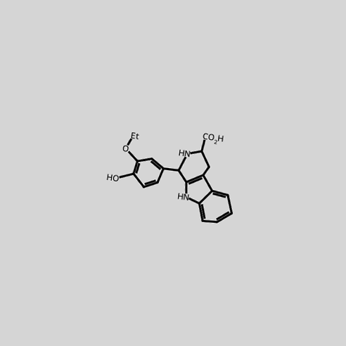 CCOc1cc(C2NC(C(=O)O)Cc3c2[nH]c2ccccc32)ccc1O